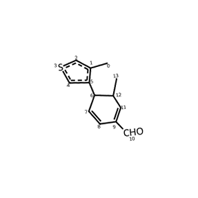 Cc1cscc1C1C=CC(C=O)=CC1C